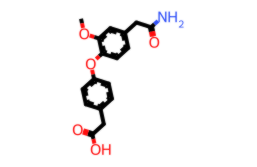 COc1cc(CC(N)=O)ccc1Oc1ccc(CC(=O)O)cc1